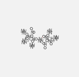 Cc1nc(C)nc(-c2ccc3c(c2)c2ccccc2n3-c2cc(-c3cc(Cc4nc(C)nc(-c5ccc6c(c5)c5cc(-c7nc(C)nc(C)n7)ccc5n6-c5cc(-c6cccc(-c7ccccc7)n6)cc(-n6c7ccc(-c8nc(C)nc(C)n8)cc7c7cc(-c8nc(C)nc(C)n8)ccc76)c5C(F)(F)F)n4)cc(-c4ccccc4)n3)cc(-n3c4ccccc4c4cc(-c5nc(C)nc(C)n5)ccc43)c2C(F)(F)F)n1